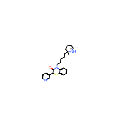 C[C@H]1CCC[C@@](C)(CCCCCN2C(=O)C(c3cccnc3)Sc3ccccc32)N1